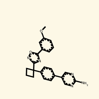 COc1cccc(-c2nc(C3(c4ccc(-c5cnc(N)nc5)cc4)CCC3)no2)c1